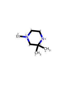 CCN1CC[N]C(C)(C)C1